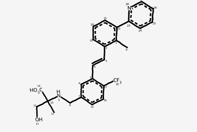 Cc1c(C=Cc2cc(CNC(C)(CO)C(=O)O)ccc2C(F)(F)F)cccc1-c1ccccn1